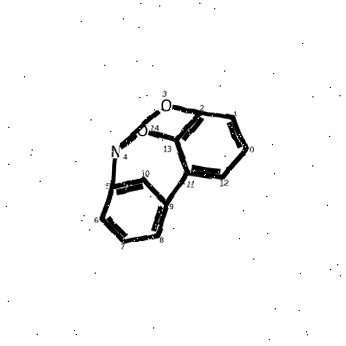 c1cc2on3c4cccc(c4)c(c1)c2O3